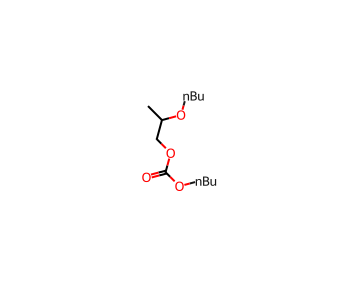 CCCCOC(=O)OCC(C)OCCCC